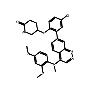 COc1ccc(N(C)c2cnnc3cc(-c4cc(Cl)ccc4OC4CCC(=O)NC4)ccc23)c(OC)c1